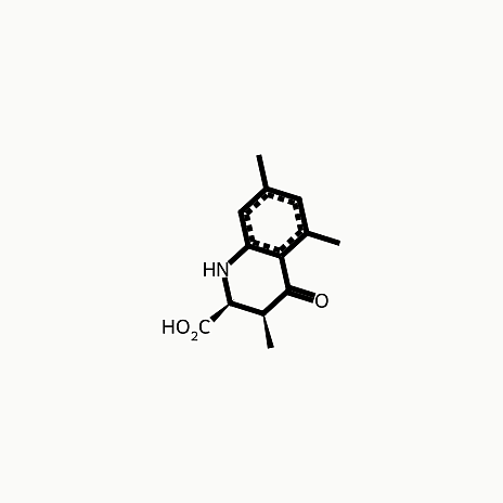 Cc1cc(C)c2c(c1)N[C@H](C(=O)O)[C@H](C)C2=O